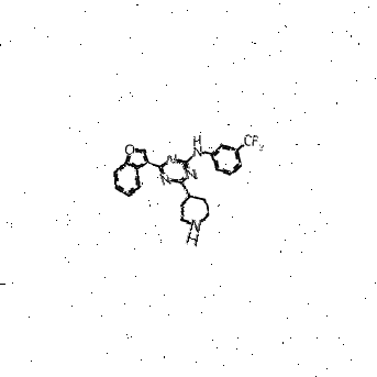 FC(F)(F)c1cccc(Nc2nc(-c3coc4ccccc34)nc(C3CCNCC3)n2)c1